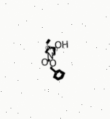 C=C[C@H]1CN(C(=O)OCc2ccccc2)C[C@@H]1O